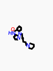 O=C1Nc2cccnc2N(CC#CCCCN2CCCCC2)c2ccccc21